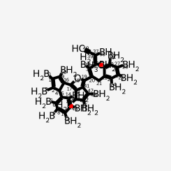 BC1=C(B)C(c2c(B)c(B)c(B)c(B)c2B)C(c2oc(/C(Cc3c(B)c(B)c(B)c(B)c3C)=C(B)/C(B)=C(/B)C#C)c3c2C(B)C(B)=C3B)=C1B